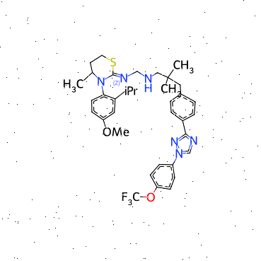 COc1ccc(N2/C(=N/CNCC(C)(C)Cc3ccc(-c4ncn(-c5ccc(OC(F)(F)F)cc5)n4)cc3)SCCC2C)c(C(C)C)c1